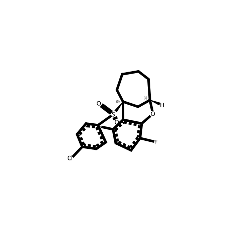 O=S(=O)(c1ccc(Cl)cc1)[C@@]12CCCC[C@@H](C1)Oc1c(F)ccc(F)c12